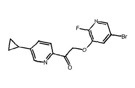 O=C(COc1cc(Br)cnc1F)c1ccc(C2CC2)cn1